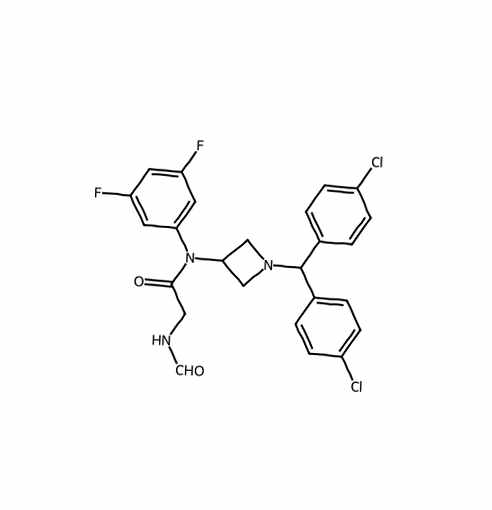 O=CNCC(=O)N(c1cc(F)cc(F)c1)C1CN(C(c2ccc(Cl)cc2)c2ccc(Cl)cc2)C1